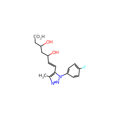 Cc1nnn(-c2ccc(F)cc2)c1C=CC(O)CC(O)CC(=O)O